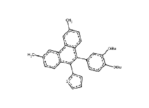 Cc1ccc2c(-c3ccc(OCC(C)C)c(OCC(C)C)c3)c(-c3cccs3)c3ccc(C)cc3c2c1